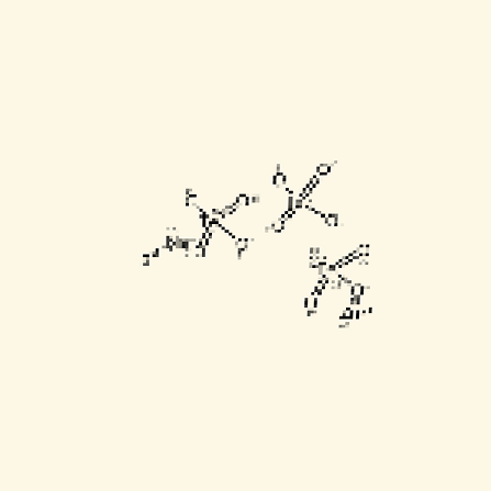 O=[Te](=O)([O-])[O-].O=[Te](=O)([O-])[O-].O=[Te](=O)([O-])[O-].[La+3].[Na+].[Zn+2]